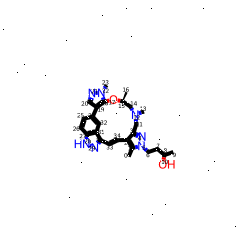 Cc1c2c(nn1CCC(C)O)CN(C)C[C@H](C)Oc1c(cnn1C)-c1ccc3[nH]nc(c3c1)/C=C/2